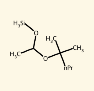 CCCC(C)(C)OC(C)O[SiH3]